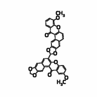 COc1ccc2oc3c(C4Oc5cc6ccc7oc8c(OC)cccc8c(=O)c7c6cc5O4)cc4cc5c(cc4c3c(=O)c2c1)OCO5